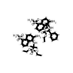 CCOP(=O)(OCC)C(C)(C)Nc1c(N)ccc2c(S(N)(=O)=O)cccc12.CCOP(=O)(OCC)C(Nc1c(N)ccc2c(S(N)(=O)=O)cccc12)c1ccccc1